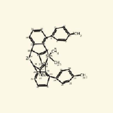 CCCCC1=C2c3c(-c4ccc(C)cc4)cccc3[CH]1[Zr][CH]1C(CCCC)=C(c3c(-c4ccc(C)cc4)cccc31)[Si]2(C)C